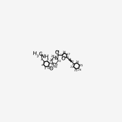 CNCc1ccc2c(c1)C1(CCN(C(=O)c3ccc(C#Cc4ccccc4)o3)CC1)CO2